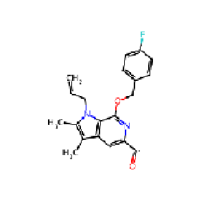 C=CCn1c(C)c(C)c2cc([C]=O)nc(OCc3ccc(F)cc3)c21